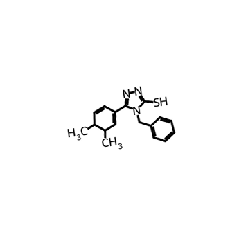 CC1C=CC(c2nnc(S)n2Cc2ccccc2)=CC1C